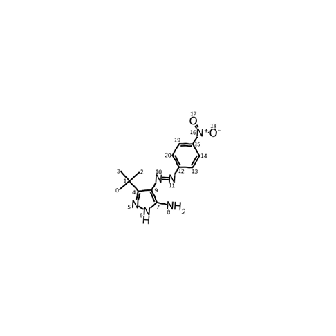 CC(C)(C)c1n[nH]c(N)c1N=Nc1ccc([N+](=O)[O-])cc1